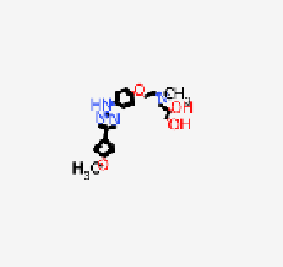 COc1ccc(-c2cnc(Nc3ccc(OCCN(C)CC(O)CO)cc3)nc2)cc1